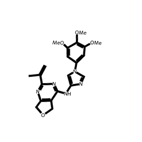 C=C(C)c1nc2c(c(Nc3cn(-c4cc(OC)c(OC)c(OC)c4)cn3)n1)COC2